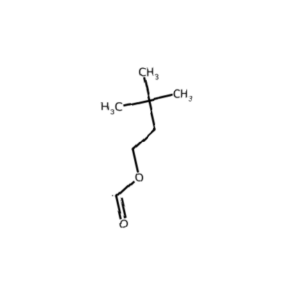 CC(C)(C)CCO[C]=O